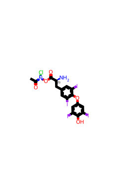 CC(=O)N(Cl)OC(=O)[C@@H](N)Cc1cc(I)c(Oc2cc(I)c(O)c(I)c2)c(I)c1